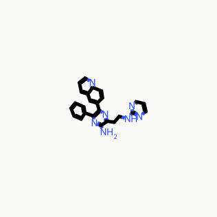 Nc1nc(-c2ccccc2)c(-c2ccc3ncccc3c2)nc1CCNc1ncccn1